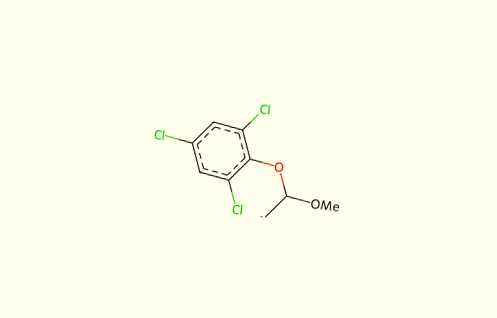 [CH2]C(OC)Oc1c(Cl)cc(Cl)cc1Cl